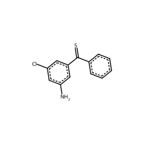 Nc1cc(Cl)cc(C(=S)c2ccccc2)c1